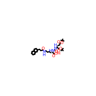 CC(C)(C)OC(=O)CC[C@H](NC(=O)N[C@@H](CCCCNC(=O)CCc1ccc2ccccc2c1)C(=O)O)C(=O)OC(C)(C)C